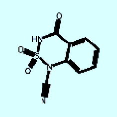 N#CN1c2ccccc2C(=O)NS1(=O)=O